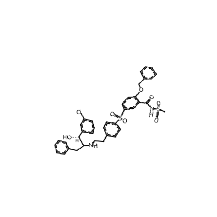 CS(=O)(=O)NC(=O)c1cc(S(=O)(=O)c2ccc(CCNC(Cc3ccccc3)[C@H](O)c3cccc(Cl)c3)cc2)ccc1OCc1ccccc1